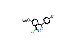 COc1ccc2c(-c3ccc(Br)cc3)nnc(Cl)c2c1